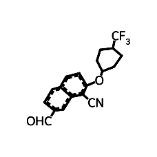 N#Cc1c(OC2CCC(C(F)(F)F)CC2)ccc2ccc(C=O)cc12